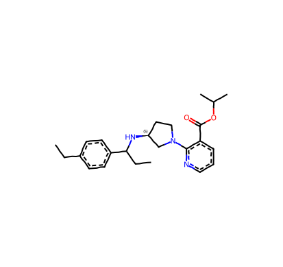 CCc1ccc(C(CC)N[C@H]2CCN(c3ncccc3C(=O)OC(C)C)C2)cc1